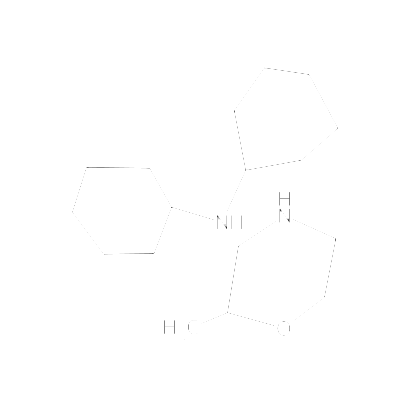 C1CCC(NC2CCCCC2)CC1.CC1CNCCO1